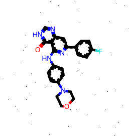 O=c1[nH]cnc2cc(-c3ccc(F)cc3)nc(Nc3ccc(N4CCOCC4)cc3)c12